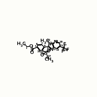 CCOC(=O)c1ccc(-c2nc3cc(C(F)(F)F)cnc3n2C)c(S(=O)(=O)CC)c1